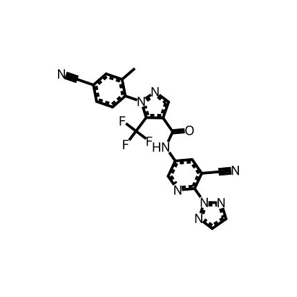 Cc1cc(C#N)ccc1-n1ncc(C(=O)Nc2cnc(-n3nccn3)c(C#N)c2)c1C(F)(F)F